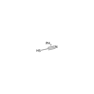 N#CS.P